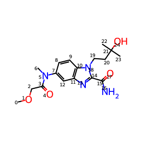 COCC(=O)N(C)c1ccc2c(c1)nc(C(N)=O)n2CCC(C)(C)O